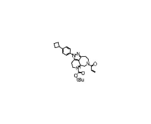 C=CC(=O)N1CCc2nn(-c3ccc(C4CCC4)cc3)c3c2[C@H](C1)N(C(=O)OC(C)(C)C)CC3